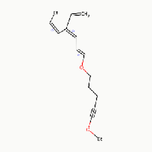 C=CC(/C=C\CC)=C/C=C/OCCCC#COCC